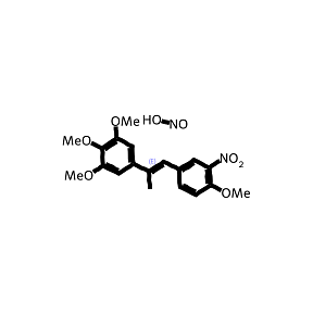 COc1ccc(/C=C(\C)c2cc(OC)c(OC)c(OC)c2)cc1[N+](=O)[O-].O=NO